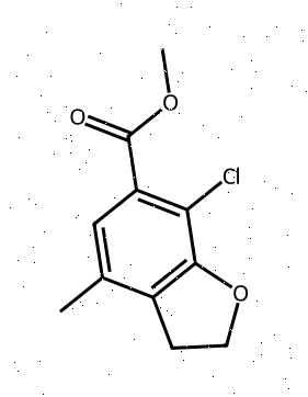 COC(=O)c1cc(C)c2c(c1Cl)OCC2